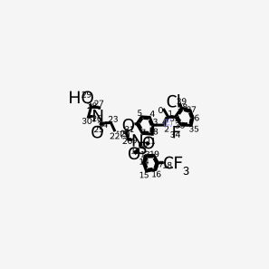 C/C(=C\c1ccc2c(c1)N(S(=O)(=O)c1cccc(C(F)(F)F)c1)C[C@H](CCC(=O)N1CC(O)C1)O2)c1c(F)cccc1Cl